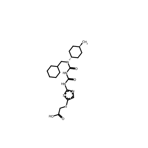 C[C@H]1CC[C@H](N(CC2CCCCC2)C(=O)NC(=O)Nc2ncc(SCC(=O)O)s2)CC1